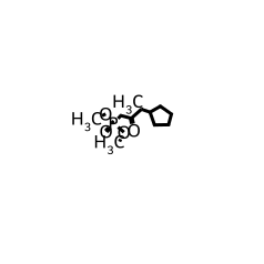 COP(=O)(CC(=O)C(C)C1CCCC1)OC